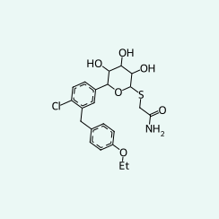 CCOc1ccc(Cc2cc(C3OC(SCC(N)=O)C(O)C(O)C3O)ccc2Cl)cc1